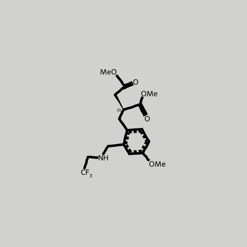 COC(=O)C[C@H](Cc1ccc(OC)cc1CNCC(F)(F)F)C(=O)OC